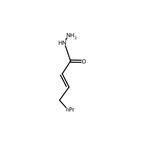 CCCCC=CC(=O)NN